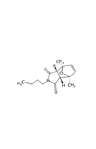 CCCCN1C(=O)[C@@H]2[C@H](C1=O)[C@@]1(C)C=C[C@]2(C)O1